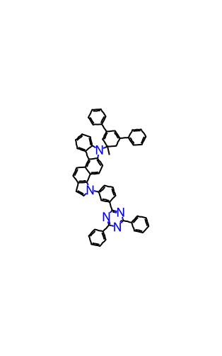 CC1(n2c3ccccc3c3c4ccc5ccn(-c6cccc(-c7nc(-c8ccccc8)nc(-c8ccccc8)n7)c6)c5c4ccc32)C=C(c2ccccc2)C=C(c2ccccc2)C1